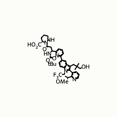 CO[C@@H](C)c1ncccc1-c1c(CC(C)(C)CO)c2cc(-c3cccc(C(CC(=O)N4NCCC[C@H]4C(=O)O)NC(=O)OC(C)(C)C)n3)ccc2n1CC(F)(F)F